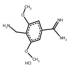 COc1cc(C(=N)N)cc(OC)c1CN.Cl